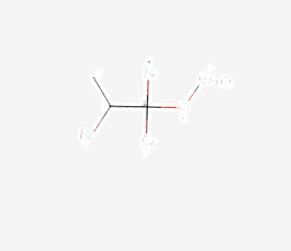 CC(Br)C(Br)(Br)O[C]=O